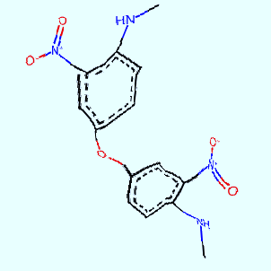 CNc1ccc(Oc2ccc(NC)c([N+](=O)[O-])c2)cc1[N+](=O)[O-]